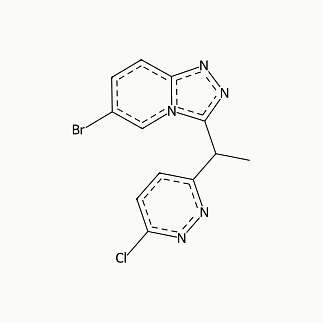 CC(c1ccc(Cl)nn1)c1nnc2ccc(Br)cn12